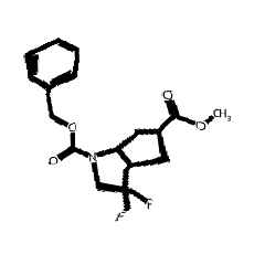 COC(=O)C1CC2C(C1)C(F)(F)CN2C(=O)OCc1ccccc1